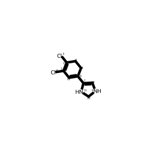 ClC1=C(Cl)CCC(C2=CNCN2)=C1